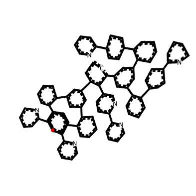 c1ccc(-c2ccc(-c3ccccc3-c3cc(-c4ccccc4-c4ccc(-c5ccccn5)cc4)cc(-c4cccc(-c5cc(-c6ccccc6-c6ccc(-c7ccccn7)cc6)cc(-c6ccccc6-c6ccc(-c7ccccn7)cc6)c5)c4-c4ccc(-c5ccccn5)nc4)c3)cc2)nc1